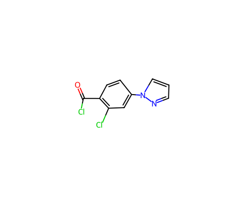 O=C(Cl)c1ccc(-n2cccn2)cc1Cl